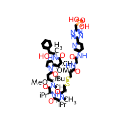 CC[C@H](C)[C@@H]([C@@H](CC(=O)N1CCC[C@H]1[C@H](OC)[C@@H](C)C(=O)N[C@H](C)[C@@H](O)c1ccccc1)OC)N(C)C(=O)[C@@H](NC(=O)[C@H](C(C)C)N(C)C(=O)CCSSCCC(=O)NCC(=O)Nc1ccc(-c2nnc(CP(=O)(O)O)nn2)nc1)C(C)C